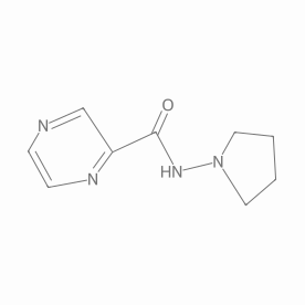 O=C(NN1CCCC1)c1cnccn1